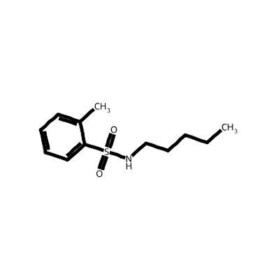 CCCCCNS(=O)(=O)c1ccccc1C